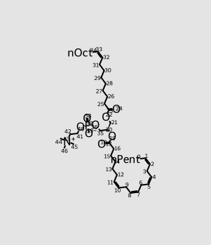 CCCCC/C=C\C/C=C\C/C=C\C/C=C\CCCCCC(=O)O[C@H](COC(=O)CCCCCCC/C=C\CCCCCCCC)COP(=O)([O-])OCC[N+](C)(C)C